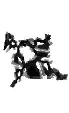 CCCCCCCCCCOc1ccc(-c2c3nc(c(-c4ccc(Br)cc4)c4ccc([nH]4)c(-c4ccc(OCCCCCCCCCC)cc4)c4nc(c(-c5ccc(Br)cc5)c5ccc2[nH]5)C=C4)C=C3)cc1